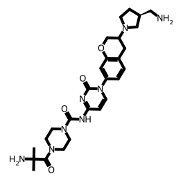 CC(C)(N)C(=O)N1CCN(C(=O)Nc2ccn(-c3ccc4c(c3)OCC(N3CC[C@@H](CN)C3)C4)c(=O)n2)CC1